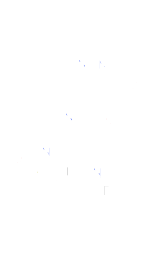 CCN(CC)CCOc1c(N2CCN(S(=O)(=O)Cc3ccccc3)CC2)cnn(-c2ccccc2)c1=O